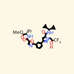 COC(=O)[C@@H](NC(=O)c1cnc(-c2cccc(-c3cc(C(=O)NC(C4CC4)C4CC4)n(C[C@H](O)C(F)(F)F)n3)c2)o1)C(C)C